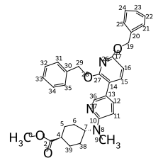 COC(=O)[C@H]1CC[C@H](N(C)c2ccc(-c3ccc(OCc4ccccc4)nc3OCc3ccccc3)cn2)CC1